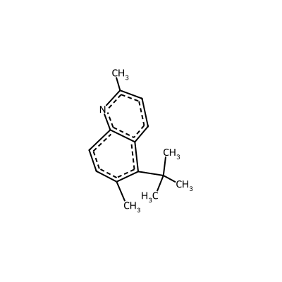 Cc1ccc2c(C(C)(C)C)c(C)ccc2n1